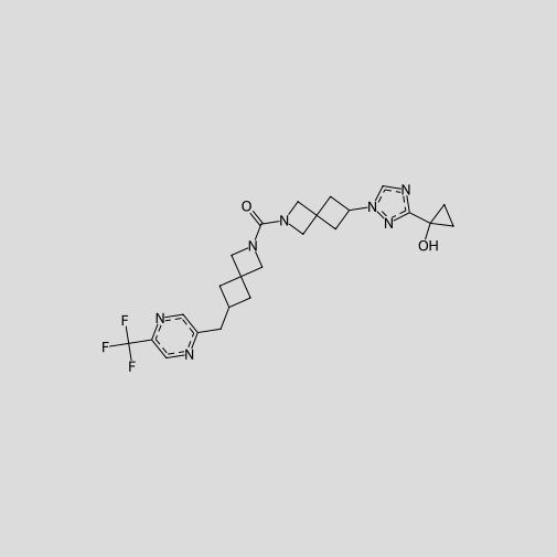 O=C(N1CC2(CC(Cc3cnc(C(F)(F)F)cn3)C2)C1)N1CC2(CC(n3cnc(C4(O)CC4)n3)C2)C1